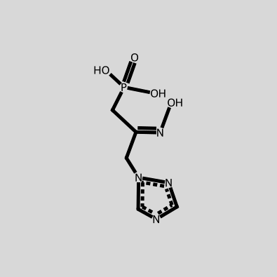 O=P(O)(O)CC(Cn1cncn1)=NO